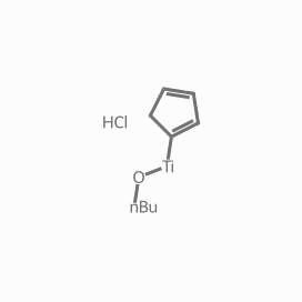 CCCC[O][Ti][C]1=CC=CC1.Cl